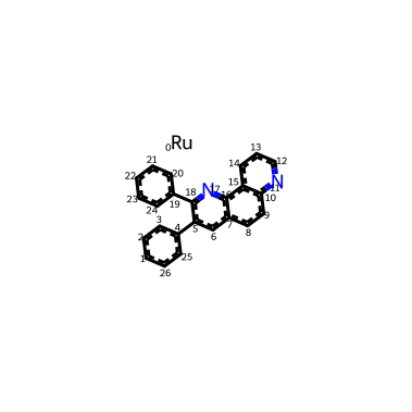 [Ru].c1ccc(-c2cc3ccc4ncccc4c3nc2-c2ccccc2)cc1